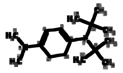 CN(C)C1=CC=C(P(C(C)(C)C)C(C)(C)C)CC1